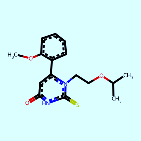 COc1ccccc1-c1cc(=O)[nH]c(=S)n1CCOC(C)C